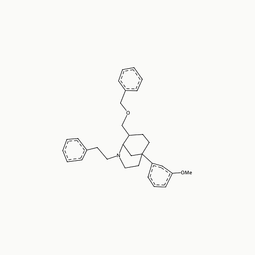 COc1cccc(C23CCC(COCc4ccccc4)C(C2)N(CCc2ccccc2)CC3)c1